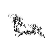 Cc1c([S+]([O-])c2ccc(N)cc2)cc(C(=O)NCc2ccc(S(=O)(=O)NCCCN(C)CCCNS(=O)(=O)c3ccc(CNC(=O)c4cc([S+]([O-])c5ccc(N)cc5)c(C)n(-c5cccc(C(F)(F)F)c5)c4=O)cc3)cc2)c(=O)n1-c1cccc(C(F)(F)F)c1